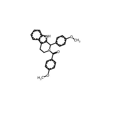 COc1ccc(C(=O)N2CCc3c([nH]c4ccccc34)C2c2ccc(OC)cc2)cc1